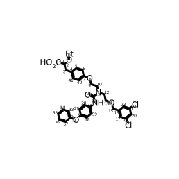 CCOC(Cc1ccc(OCCN(CCOCc2cc(Cl)cc(Cl)c2)C(=O)Nc2ccc(Oc3ccccc3)cc2)cc1)C(=O)O